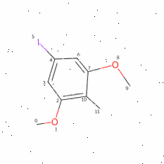 COc1cc(I)cc(OC)c1C